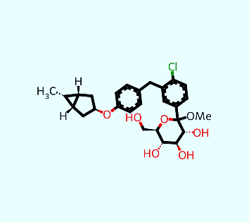 COC1(c2ccc(Cl)c(Cc3ccc(O[C@H]4C[C@@H]5[C@H](C)[C@@H]5C4)cc3)c2)O[C@H](CO)[C@@H](O)[C@H](O)[C@H]1O